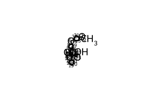 COc1ccc(Oc2ccc(S(=O)(=O)N3CCc4ccccc4C3C(=O)NO)cc2)cc1